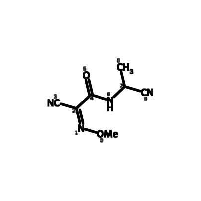 CO/N=C(/C#N)C(=O)NC(C)C#N